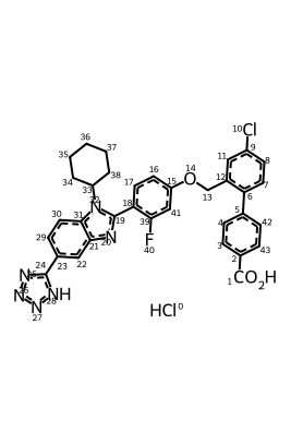 Cl.O=C(O)c1ccc(-c2ccc(Cl)cc2COc2ccc(-c3nc4cc(-c5nnn[nH]5)ccc4n3C3CCCCC3)c(F)c2)cc1